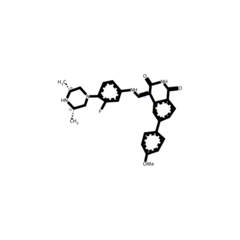 COc1ccc(-c2ccc3c(c2)/C(=C/Nc2ccc(N4C[C@@H](C)N[C@@H](C)C4)c(F)c2)C(=O)NC3=O)cc1